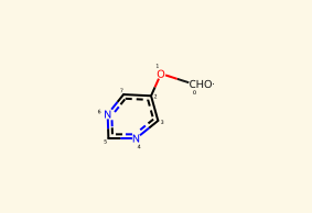 O=[C]Oc1cncnc1